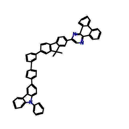 CC1(C)c2cc(-c3cccc(-c4ccc(-c5ccc6c(c5)c5ccccc5n6-c5ccccc5)cc4)c3)ccc2-c2ccc(-c3cnc4c5ccccc5c5ccccc5c4n3)cc21